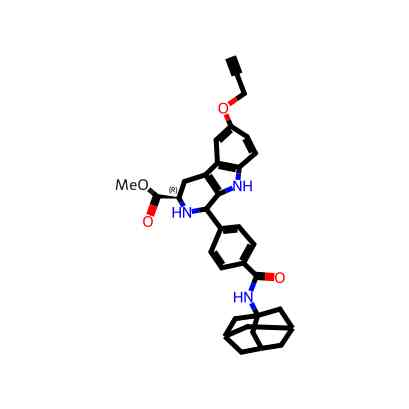 C#CCOc1ccc2[nH]c3c(c2c1)C[C@H](C(=O)OC)NC3c1ccc(C(=O)NC23CC4CC(CC(C4)C2)C3)cc1